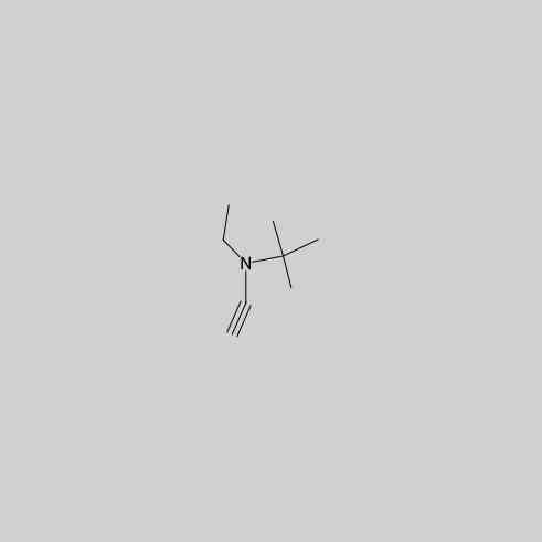 C#CN(CC)C(C)(C)C